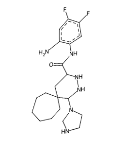 Nc1cc(F)c(F)cc1NC(=O)C1CC2(CCCCCC2)C(N2CCNC2)NN1